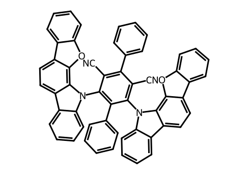 N#Cc1c(-c2ccccc2)c(C#N)c(-n2c3ccccc3c3ccc4c5ccccc5oc4c32)c(-c2ccccc2)c1-n1c2ccccc2c2ccc3c4ccccc4oc3c21